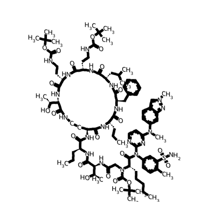 CCCCC[C@@H](C(=O)N(c1ccc(C)c(S(N)(=O)=O)c1)c1nccc(N(C)c2ccc3cn(C)nc3c2)n1)N(CC(=O)N[C@H](C(=O)N[C@@H](CCC)C(=O)N[C@H]1CCNC(=O)[C@H]([C@@H](C)O)NC(=O)[C@H](CCNC(=O)OC(C)(C)C)NC(=O)[C@H](CCNC(=O)OC(C)(C)C)NC(=O)[C@H](CC(C)C)NC(=O)[C@@H](Cc2ccccc2)NC(=O)[C@H](CCC)NC1=O)[C@@H](C)O)C(=O)OC(C)(C)C